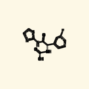 O=C(O)NC(C(=O)Nc1nccs1)c1cccc(F)c1